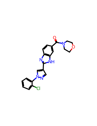 O=C(c1ccc2nc(-c3cnn(-c4ccccc4Cl)c3)[nH]c2c1)N1CCOCC1